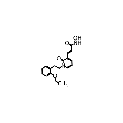 CCOc1ccccc1CCn1cccc(/C=C/C(=O)NO)c1=O